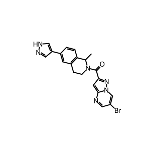 CC1c2ccc(-c3cn[nH]c3)cc2CCN1C(=O)c1cc2ncc(Br)cn2n1